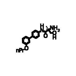 CCCOc1cccc(-c2ccc(NC(=O)[C@@](C)(N)CO)cc2)c1